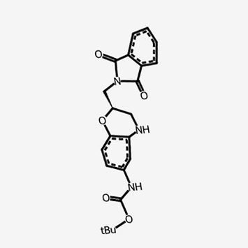 CC(C)(C)OC(=O)Nc1ccc2c(c1)NC[C@H](CN1C(=O)c3ccccc3C1=O)O2